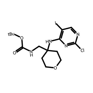 CC(C)(C)OC(=O)NCC1(Nc2nc(Cl)ncc2I)CCOCC1